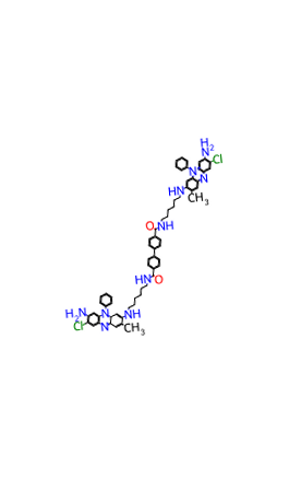 CC1=CC2=Nc3cc(Cl)c(N)cc3N(c3ccccc3)C2C=C1NCCCCCCNC(=O)c1ccc(-c2ccc(C(=O)NCCCCCCNc3cc4c(cc3C)nc3cc(Cl)c(N)cc3[n+]4-c3ccccc3)cc2)cc1